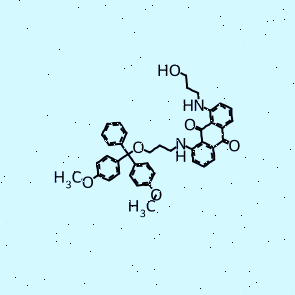 COc1ccc(C(OCCCNc2cccc3c2C(=O)c2c(NCCCO)cccc2C3=O)(c2ccccc2)c2ccc(OC)cc2)cc1